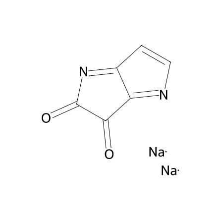 O=c1nc2ccnc-2c1=O.[Na].[Na]